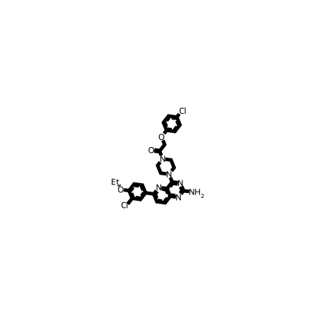 CCOc1ccc(-c2ccc3nc(N)nc(N4CCN(C(=O)COc5ccc(Cl)cc5)CC4)c3n2)cc1Cl